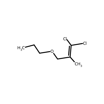 CCCOCC(C)=C(Cl)Cl